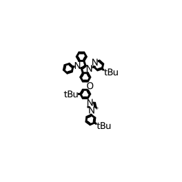 CC(C)(C)c1cc(Oc2ccc3c(c2)n(-c2cc(C(C)(C)C)ccn2)c2c4ccccc4n(-c4ccccc4)c32)cc(-n2cc[n+](-c3cccc(C(C)(C)C)c3)c2)c1